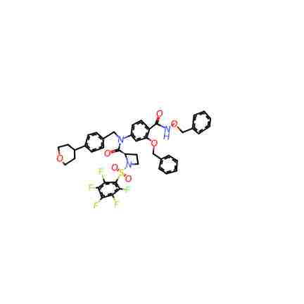 O=C(NOCc1ccccc1)c1ccc(N(Cc2ccc(C3CCOCC3)cc2)C(=O)[C@H]2CCN2S(=O)(=O)c2c(F)c(F)c(F)c(F)c2F)cc1OCc1ccccc1